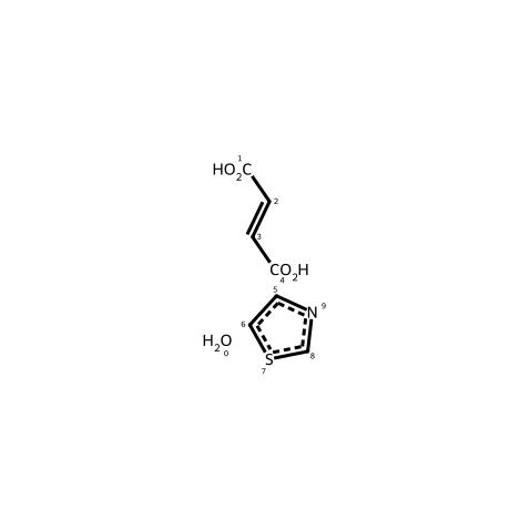 O.O=C(O)C=CC(=O)O.c1cscn1